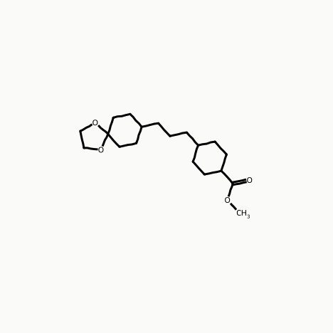 COC(=O)C1CCC(CCCC2CCC3(CC2)OCCO3)CC1